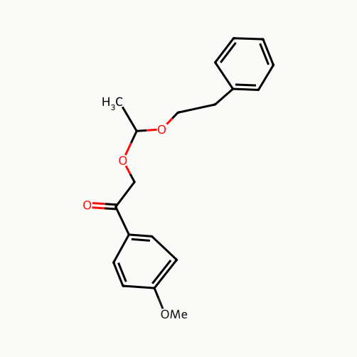 COc1ccc(C(=O)COC(C)OCCc2ccccc2)cc1